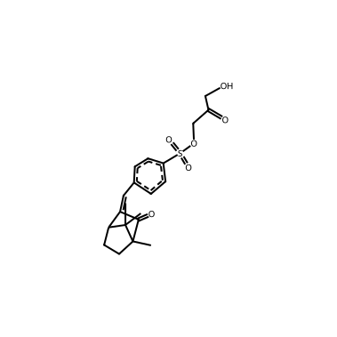 CC12CCC(/C(=C/c3ccc(S(=O)(=O)OCC(=O)CO)cc3)C1=O)C2(C)C